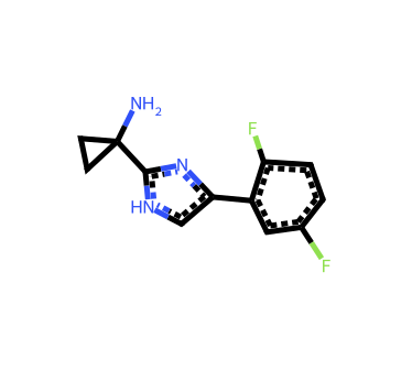 NC1(c2nc(-c3cc(F)ccc3F)c[nH]2)CC1